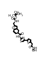 CC(C)(C)OC(=O)NCc1cc2c(o1)C=CC(C(=O)Nc1nc(-c3ccc(CC(=O)NO)s3)cs1)C2